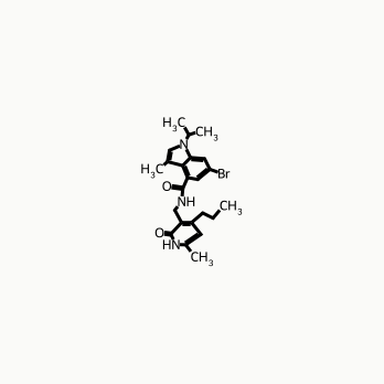 CCCc1cc(C)[nH]c(=O)c1CNC(=O)c1cc(Br)cc2c1c(C)cn2C(C)C